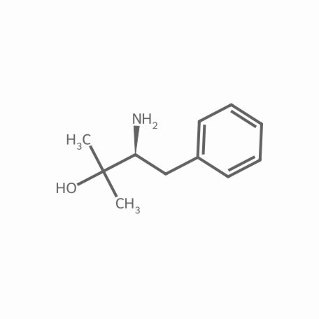 CC(C)(O)[C@@H](N)Cc1ccccc1